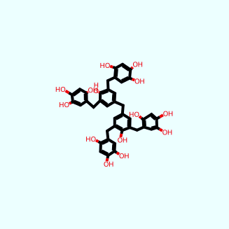 Oc1cc(O)c(Cc2cc(Cc3cc(Cc4cc(O)c(O)cc4O)c(O)c(Cc4cc(O)c(O)cc4O)c3)cc(Cc3cc(O)c(O)cc3O)c2O)cc1O